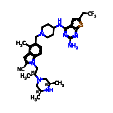 Cc1c(CN2CCC(Nc3nc(N)nc4sc(CC(F)(F)F)cc34)CC2)ccc2c1cc(C#N)n2C[C@@H](C)N1C[C@@H](C)N[C@H](C)C1